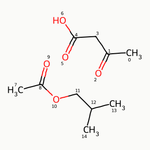 CC(=O)CC(=O)O.CC(=O)OCC(C)C